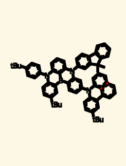 CC(C)(C)c1ccc(N2c3ccc(C(C)(C)C)cc3B3c4ccc(N(c5ccccc5)c5ccc(C(C)(C)C)cc5-c5ccccc5)cc4N(c4ccc5c(c4)C(C)(C)c4ccccc4-5)c4cccc2c43)cc1